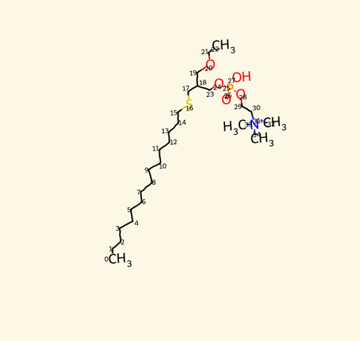 CCCCCCCCCCCCCCCCSCC(COCC)COP(=O)(O)OCC[N+](C)(C)C